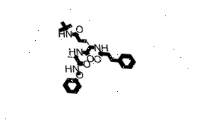 C[C@H](NC(=O)[C@H](CCC(=O)NC(C)(C)C)NC(=O)CCc1ccccc1)C(=O)NOc1ccccc1